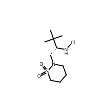 CC(C)(C)[C@@H](CN1CCCCS1(=O)=O)NCl